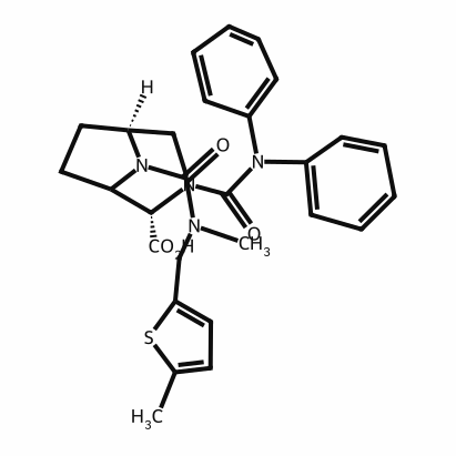 Cc1ccc(CN(C)C(=O)N2C3CC[C@H]2CN(C(=O)N(c2ccccc2)c2ccccc2)[C@@H]3C(=O)O)s1